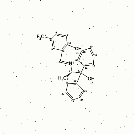 C[C@@H](N=Cc1cc(C(F)(F)F)ccc1O)C(O)(c1ccccc1)c1ccccc1